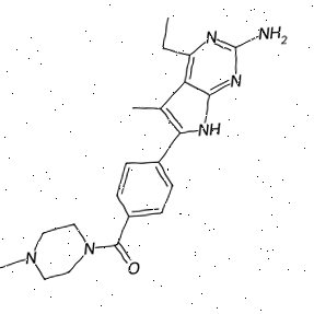 CCc1nc(N)nc2[nH]c(-c3ccc(C(=O)N4CCN(C)CC4)cc3)c(C)c12